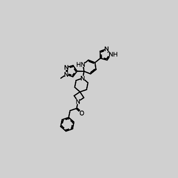 Cn1cc(C2(N3CCC4(CC3)CN(C(=O)Cc3ccccc3)C4)C=CC(c3cn[nH]c3)=CN2)cn1